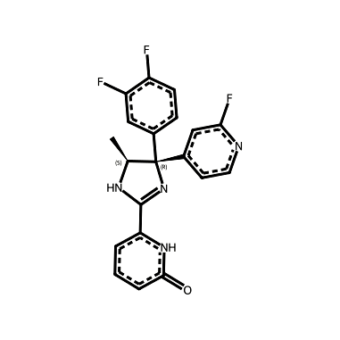 C[C@@H]1NC(c2cccc(=O)[nH]2)=N[C@@]1(c1ccnc(F)c1)c1ccc(F)c(F)c1